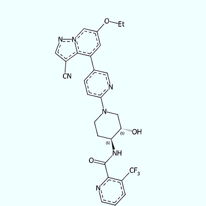 CCOc1cc(-c2ccc(N3CC[C@H](NC(=O)c4ncccc4C(F)(F)F)[C@@H](O)C3)nc2)c2c(C#N)cnn2c1